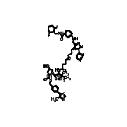 Cc1ncsc1-c1ccc(CNC(=O)[C@@H]2C[C@@H](O)CN2C(=O)[C@@H](NC(=O)CCCOCCCn2c(CNc3cccc(C(=O)NCc4c(F)cccc4F)c3)nnc2-c2ccncn2)C(C)(C)C)cc1